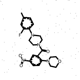 Cc1ccc(N2CCN(C(=O)c3cc([N+](=O)[O-])ccc3N3CCOCC3)CC2)c(F)c1